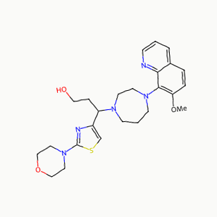 COc1ccc2cccnc2c1N1CCCN(C(CCO)c2csc(N3CCOCC3)n2)CC1